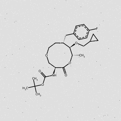 C[C@@H]1OC(=O)[C@@H](NC(=O)OC(C)(C)C)COCC[C@H](Cc2ccc(F)cc2)[C@H]1OCC1CC1